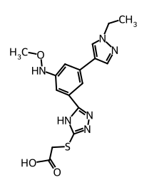 CCn1cc(-c2cc(NOC)cc(-c3nnc(SCC(=O)O)[nH]3)c2)cn1